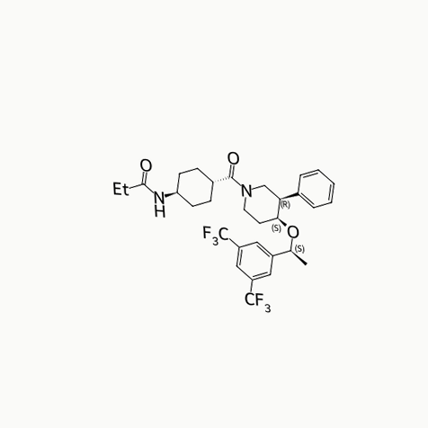 CCC(=O)N[C@H]1CC[C@H](C(=O)N2CC[C@H](O[C@@H](C)c3cc(C(F)(F)F)cc(C(F)(F)F)c3)[C@H](c3ccccc3)C2)CC1